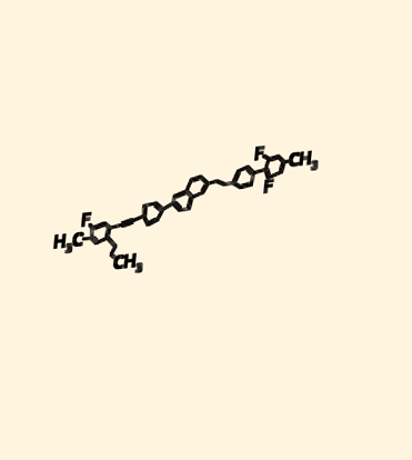 CCCc1cc(C)c(F)cc1C#Cc1ccc(-c2ccc3cc(CCc4ccc(-c5c(F)cc(C)cc5F)cc4)ccc3c2)cc1